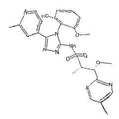 COc1cccc(O)c1-n1c(NS(=O)(=O)[C@@H](C)[C@H](OC)c2ncc(C)cn2)nnc1C1=C=C=NC(C)=C1